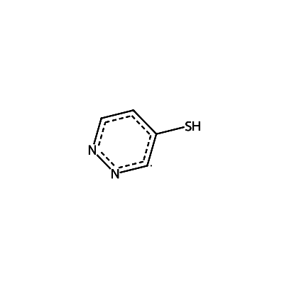 Sc1[c]nncc1